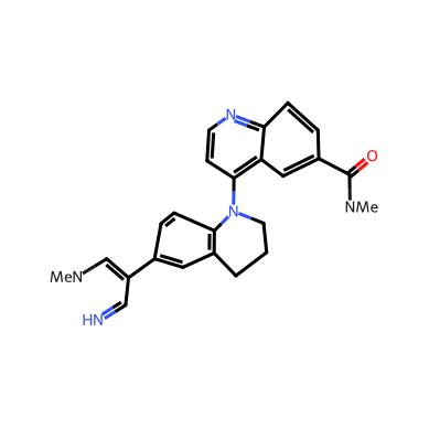 CN/C=C(\C=N)c1ccc2c(c1)CCCN2c1ccnc2ccc(C(=O)NC)cc12